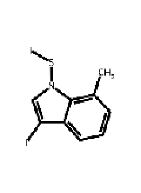 Cc1cccc2c(I)cn(SI)c12